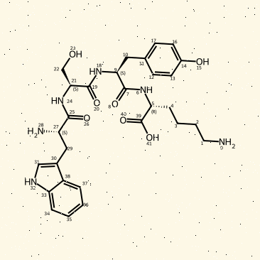 NCCCC[C@@H](NC(=O)[C@H](Cc1ccc(O)cc1)NC(=O)[C@H](CO)NC(=O)[C@@H](N)Cc1c[nH]c2ccccc12)C(=O)O